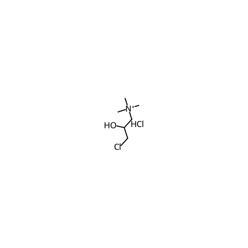 C[N+](C)(C)CC(O)CCl.Cl